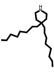 CCCCCCCCC1(CCCCCCCC)CCNCC1